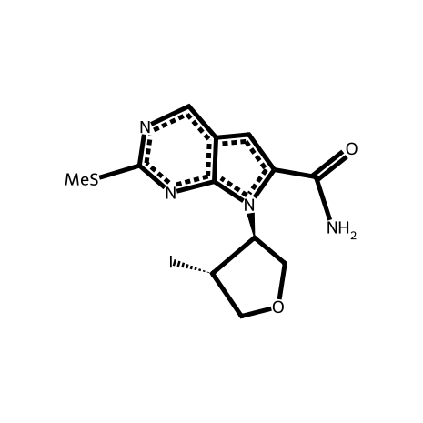 CSc1ncc2cc(C(N)=O)n([C@H]3COC[C@@H]3I)c2n1